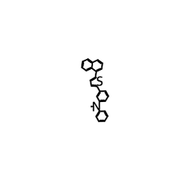 CN(c1ccccc1)c1cccc(-c2ccc(-c3cccc4ccccc34)s2)c1